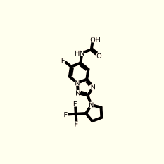 O=C(O)Nc1cc2nc(N3CCCC3C(F)(F)F)nn2cc1F